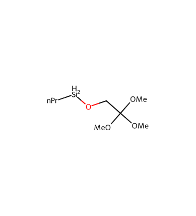 [CH2]CC[SiH2]OCC(OC)(OC)OC